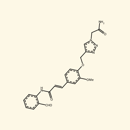 COc1cc(/C=C/C(=O)Nc2ccccc2C=O)ccc1OCc1cn(CC(N)=O)nn1